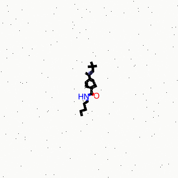 CCCCCNC(=O)c1ccc(/C(C)=C/C(C)(C)C)cc1